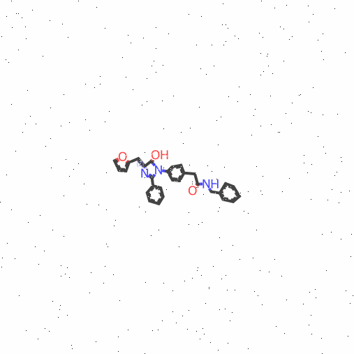 O=C(Cc1ccc(N2C(c3ccccc3)=N/C(=C\c3ccco3)C2O)cc1)NCc1ccccc1